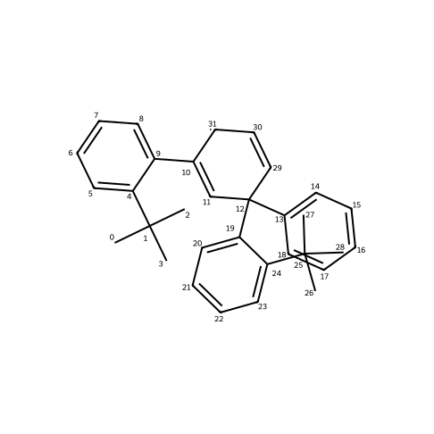 CC(C)(C)c1ccccc1C1=CC(c2ccccc2)(c2ccccc2C(C)(C)C)C=C[CH]1